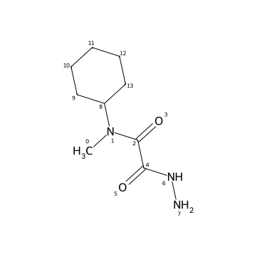 CN(C(=O)C(=O)NN)C1CCCCC1